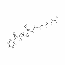 CCCCCCCCCCC(=O)ONCC(=O)c1ccccc1